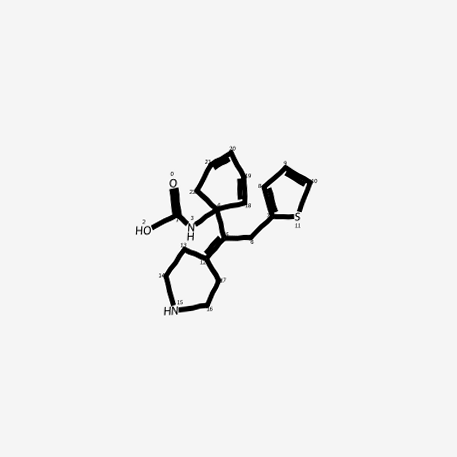 O=C(O)NC1(C(Cc2cccs2)=C2CCNCC2)C=CC=CC1